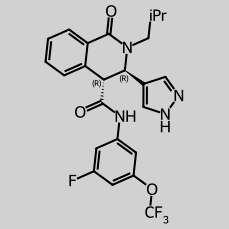 CC(C)CN1C(=O)c2ccccc2[C@@H](C(=O)Nc2cc(F)cc(OC(F)(F)F)c2)[C@@H]1c1cn[nH]c1